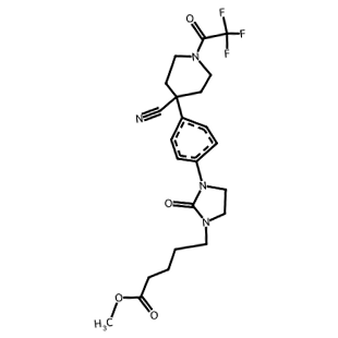 COC(=O)CCCCN1CCN(c2ccc(C3(C#N)CCN(C(=O)C(F)(F)F)CC3)cc2)C1=O